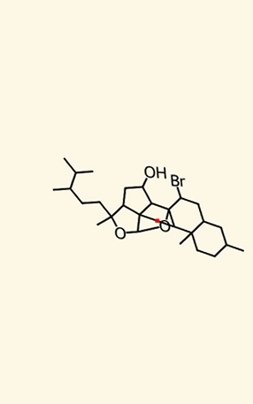 CC1CCC2(C)C(C1)CC(Br)C13OC4OC(C)(CCC(C)C(C)C)C5CC(O)C1C45CCC23